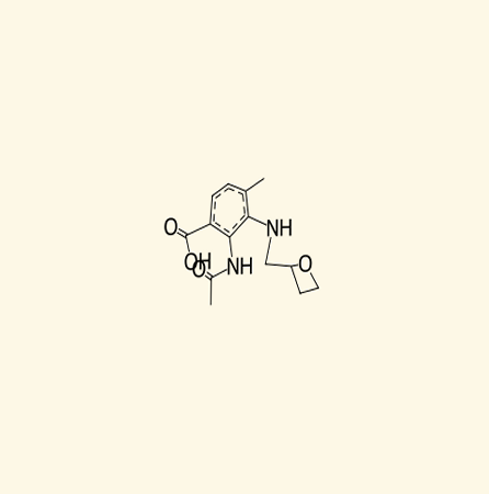 CC(=O)Nc1c(C(=O)O)ccc(C)c1NCC1CCO1